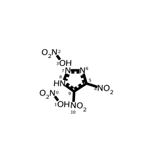 O=[N+]([O-])O.O=[N+]([O-])O.O=[N+]([O-])c1nn[nH]c1[N+](=O)[O-]